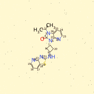 CC(C)n1c(=O)n([C@H]2C[C@H](Nc3nc4ncccc4s3)C2)c2ncccc21